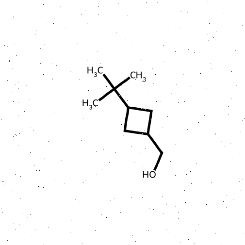 CC(C)(C)C1CC(CO)C1